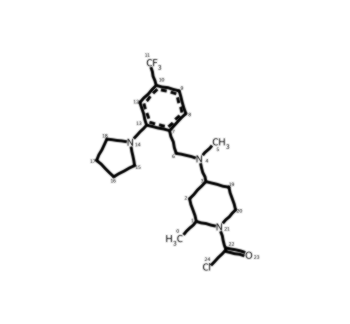 CC1CC(N(C)Cc2ccc(C(F)(F)F)cc2N2CCCC2)CCN1C(=O)Cl